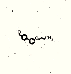 CCCCOc1cccc(-c2ccc(C=O)cc2)c1